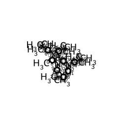 Cc1cc2c3c(c1)N(c1ccc4c(c1)-c1ccccc1C4(C)C)c1cc(N(c4ccccc4)c4ccc(C(C)(C)C)cc4)ccc1B3c1cc(C(C)(C)C)ccc1N2c1ccc(C(C)(C)C)cc1